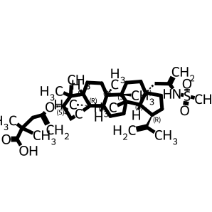 C=C(C[C@]12CC[C@@H](C(=C)C)[C@@H]1C1(C)CC[C@@H]3[C@@]4(C)CC[C@H](OC(=C)CC(C)(C)C(=O)O)C(C)(C)[C@@H]4CC[C@@]3(C)[C@]1(C)CC2)NS(C)(=O)=O